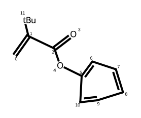 C=C(C(=O)Oc1ccccc1)C(C)(C)C